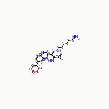 N=C(/C(=C\NCCCCCCN)c1cnc2ccc(C3=CCOCC3)cc2n1)C1CC1